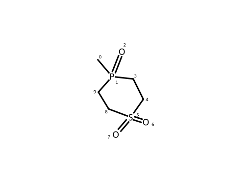 CP1(=O)CCS(=O)(=O)CC1